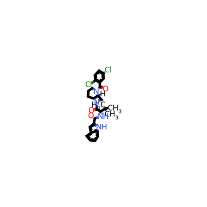 CC(C)(C)[C@H](NC(=O)c1cc2ccccc2[nH]1)C(=O)N1C[C@@H]2C1CCCN2C(=O)c1cc(Cl)ccc1Cl